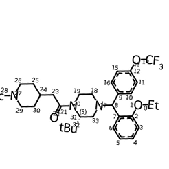 CCOc1ccccc1C(c1ccc(OC(F)(F)F)cc1)N1CCN(C(=O)CC2CCN(C(C)=O)CC2)[C@@H](C(C)(C)C)C1